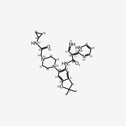 CC1(C)Cc2cc(NC(=O)/C(C=N)=C3\N=CC=CN3)c(N3CCN(CC(=O)NC4CC4)CC3)cc2O1